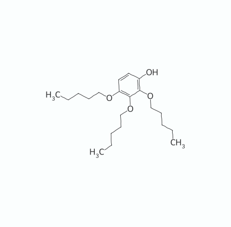 CCCCCOc1ccc(O)c(OCCCCC)c1OCCCCC